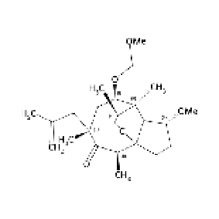 C=C(C)C[C@]1(C)C[C@@H](OCOC)[C@@]2(C)C3[C@H](OC)CCC3(CC[C@H]2C)[C@@H](C)C1=O